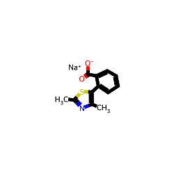 Cc1nc(C)c(-c2ccccc2C(=O)[O-])s1.[Na+]